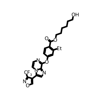 CCc1cc(Oc2nccn3c(-c4conc4C(F)(F)F)cnc23)ccc1C(=O)OCCCCCCO